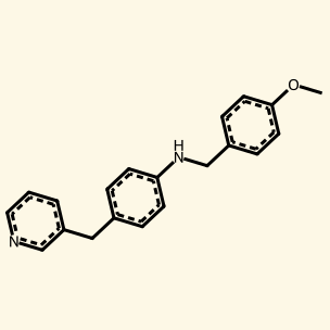 COc1ccc(CNc2ccc(Cc3cccnc3)cc2)cc1